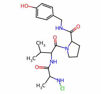 CC(NCl)C(=O)NC(C(=O)N1CCCC1C(=O)NCc1ccc(O)cc1)C(C)C